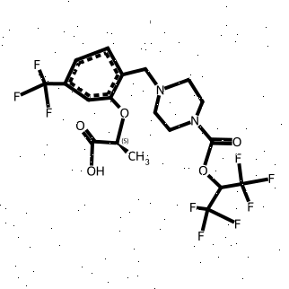 C[C@H](Oc1cc(C(F)(F)F)ccc1CN1CCN(C(=O)OC(C(F)(F)F)C(F)(F)F)CC1)C(=O)O